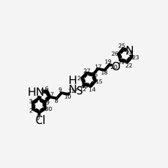 Clc1ccc2[nH]cc(CCCNSc3ccc(CCCOc4ccncc4)cc3)c2c1